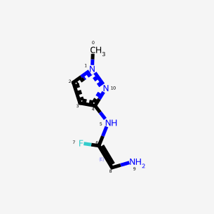 Cn1ccc(N/C(F)=C\N)n1